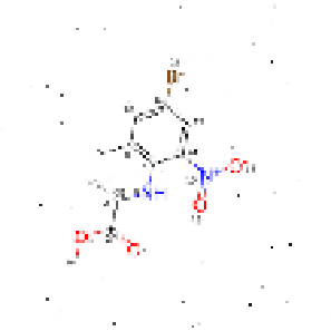 COC(=O)[C@H](C)Nc1c(C)cc(Br)cc1[N+](=O)[O-]